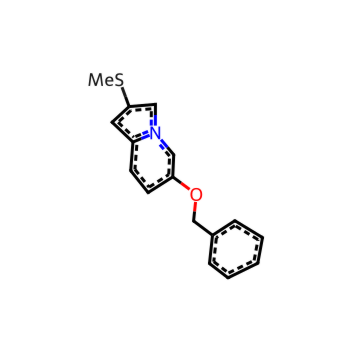 CSc1cc2ccc(OCc3ccccc3)cn2c1